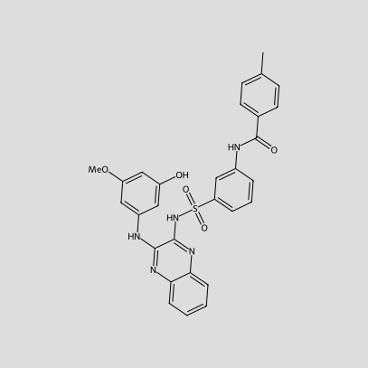 COc1cc(O)cc(Nc2nc3ccccc3nc2NS(=O)(=O)c2cccc(NC(=O)c3ccc(C)cc3)c2)c1